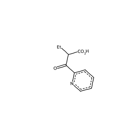 CCC(C(=O)O)C(=O)c1ccccn1